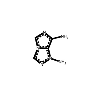 Nc1ncn2cnn(N)c12